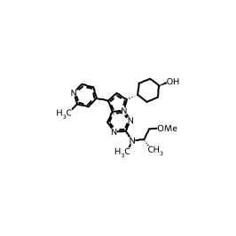 COC[C@H](C)N(C)c1ncc2c(-c3ccnc(C)c3)cc([C@H]3CC[C@H](O)CC3)n2n1